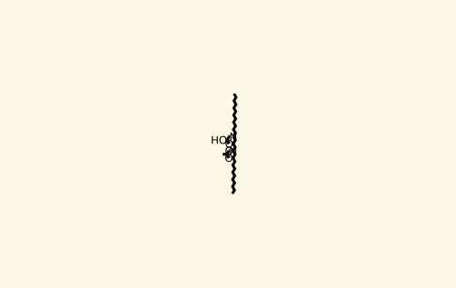 CCCCCCCCCCCCN(CCCN(CCCCCCCCCCCC)OC(C)=O)CC(=O)O